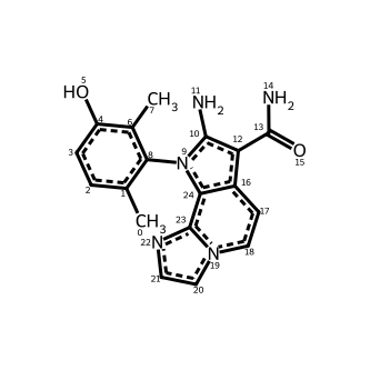 Cc1ccc(O)c(C)c1-n1c(N)c(C(N)=O)c2ccn3ccnc3c21